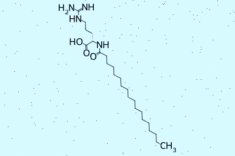 CCCCCCCCCCCCCCCCCC(=O)N[C@@H](CCCNC(=N)N)C(=O)O